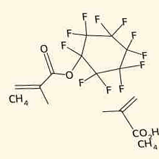 C.C.C=C(C)C(=O)O.C=C(C)C(=O)OC1(F)C(F)(F)C(F)(F)C(F)(F)C(F)(F)C1(F)F